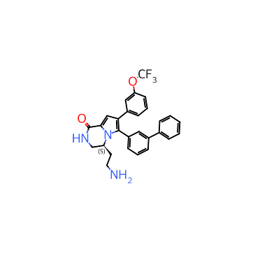 NCC[C@H]1CNC(=O)c2cc(-c3cccc(OC(F)(F)F)c3)c(-c3cccc(-c4ccccc4)c3)n21